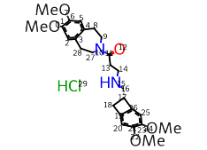 COc1cc2c(cc1OC)CCN(C(=O)CCNC[C@H]1Cc3cc(OC)c(OC)cc31)CC2.Cl